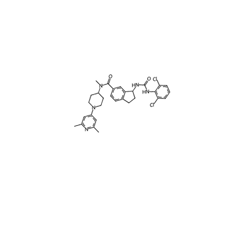 Cc1cc(N2CCC(N(C)C(=O)c3ccc4c(c3)C(NC(=O)Nc3c(Cl)cccc3Cl)CC4)CC2)cc(C)n1